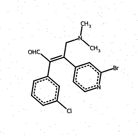 CN(C)C/C(=C(\C=O)c1cccc(Cl)c1)c1ccnc(Br)c1